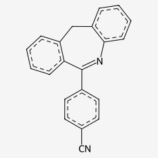 N#Cc1ccc(C2=Nc3ccccc3Cc3ccccc32)cc1